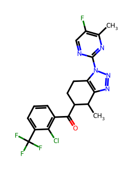 Cc1nc(-n2nnc3c2CCC(C(=O)c2cccc(C(F)(F)F)c2Cl)C3C)ncc1F